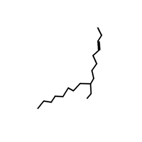 [CH2]CC=CCCCCC(CC)CCCCCCC[CH2]